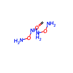 C=O.NON.NON